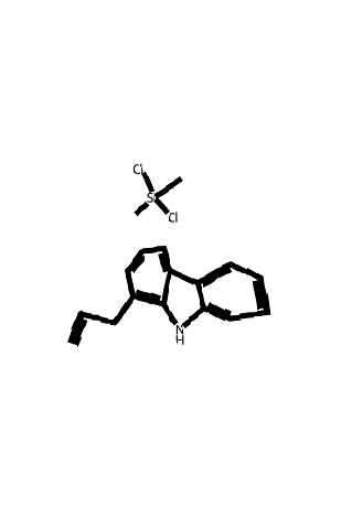 C=CCc1cccc2c1[nH]c1ccccc12.C[Si](C)(Cl)Cl